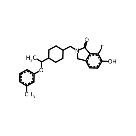 Cc1cccc(OC(C)C2CCC(CN3Cc4ccc(O)c(F)c4C3=O)CC2)c1